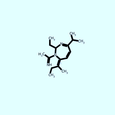 CC/C(C)=C1/C=CC(C(C)C)=NC(CC)N1C(C)=N